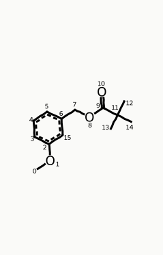 COc1cccc(COC(=O)C(C)(C)C)c1